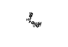 O=C(Nc1ccc([C@@H]2C[C@H]2NCc2ccc3nccn3c2)cc1)c1cccc(C(F)(F)F)c1